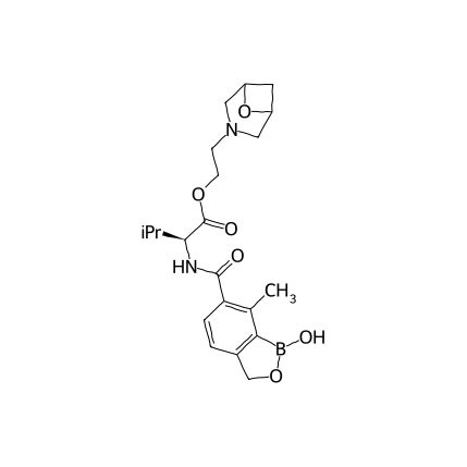 Cc1c(C(=O)N[C@H](C(=O)OCCN2CC3CC(C2)O3)C(C)C)ccc2c1B(O)OC2